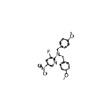 COc1ccc(CN(Cc2ccc(OC)cc2)c2ncc([N+](=O)[O-])cc2F)cc1